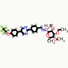 CCO[C@@H]1[C@@H](OC)[C@H](C)O[C@@H](O/N=C/c2ccc(-c3ncc(-c4ccc(OC(F)(F)C(F)(F)F)cc4)cn3)cc2)[C@@H]1OC